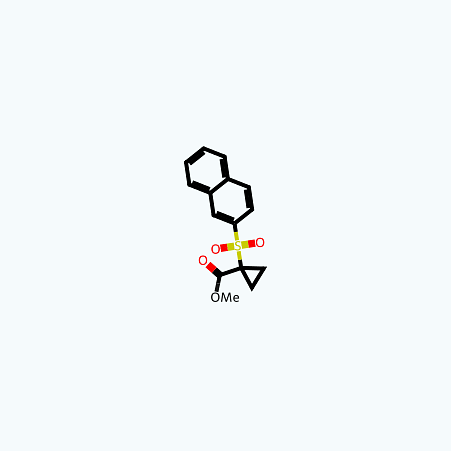 COC(=O)C1(S(=O)(=O)c2ccc3ccccc3c2)CC1